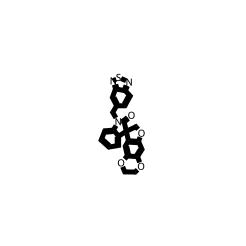 O=C1N(Cc2ccc3nsnc3c2)c2ccccc2C12COc1cc3c(cc12)OCCO3